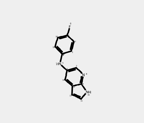 Fc1ccc(Nc2cnc3[nH]ccc3c2)cc1